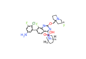 Nc1cc(F)c(Cl)c(-c2ccc3c(N4C[C@H]5CC[C@@H](C4)N5C(=O)O)nc(OC[C@@]45CCCN4C[C@H](F)C5)nc3c2F)c1